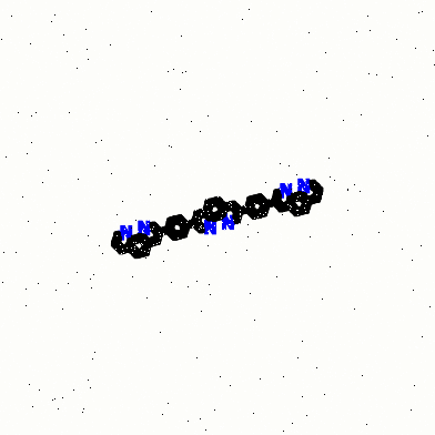 c1cnc2c(c1)ccc1cc(-c3ccc(-c4cnc5c(ccc6cc(-c7ccc(-c8cnc9c(ccc%10cccnc%109)c8)cc7)cnc65)c4)cc3)cnc12